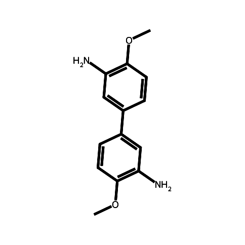 COc1ccc(-c2ccc(OC)c(N)c2)cc1N